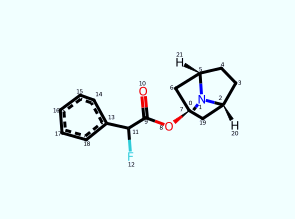 CN1[C@@H]2CC[C@H]1C[C@H](OC(=O)C(F)c1ccccc1)C2